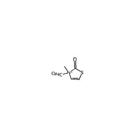 C[N+]1(C=O)C=CSC1=O